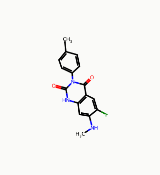 CNc1cc2[nH]c(=O)n(-c3ccc(C)cc3)c(=O)c2cc1F